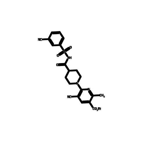 CCOC(=O)c1cc(C#N)c(N2CCC(C(=O)NS(=O)(=O)c3cccc(C#N)c3)CC2)nc1C